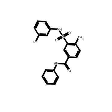 CC(=O)c1cccc(NS(=O)(=O)c2cc(C(=O)Nc3ccccc3)ccc2C)c1